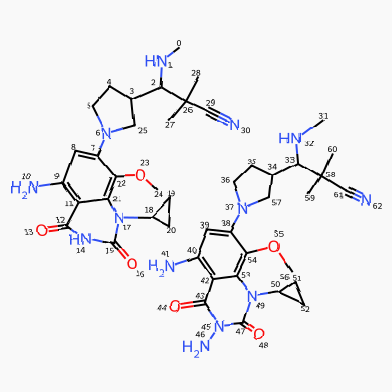 CNC(C1CCN(c2cc(N)c3c(=O)[nH]c(=O)n(C4CC4)c3c2OC)C1)C(C)(C)C#N.CNC(C1CCN(c2cc(N)c3c(=O)n(N)c(=O)n(C4CC4)c3c2OC)C1)C(C)(C)C#N